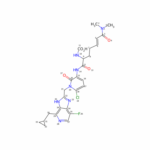 CN(C)C(=O)C=CCCC(NC(=O)O)C(=O)Nc1ccc(Cl)n(Cc2nc3c(F)cnc(CC4CC4)c3[nH]2)c1=O